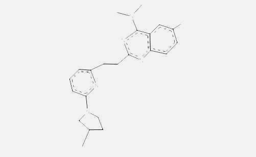 CN(C)c1nc(CCc2cccc(N3CCC(O)C3)n2)nc2ccc(Cl)cc12